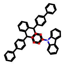 c1ccc(-c2ccc(C34c5ccccc5C(c5ccc(-c6ccccc6)cc5)(c5ccccc53)c3cc(-n5c6ccccc6c6ccccc65)ccc34)cc2)cc1